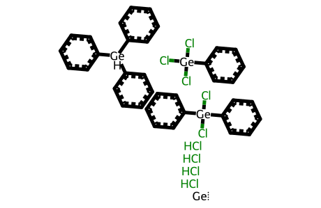 Cl.Cl.Cl.Cl.[Cl][Ge]([Cl])([Cl])[c]1ccccc1.[Cl][Ge]([Cl])([c]1ccccc1)[c]1ccccc1.[Ge].c1cc[c]([GeH]([c]2ccccc2)[c]2ccccc2)cc1